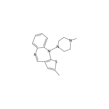 Cc1cc2c(s1)N(N1CCN(C)CC1)c1ccccc1N=C2